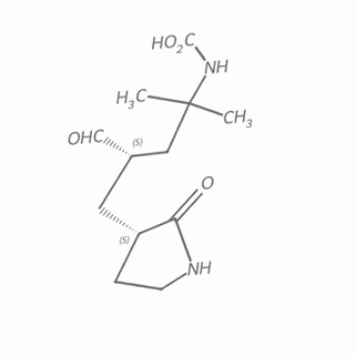 CC(C)(C[C@@H](C=O)C[C@H]1CCNC1=O)NC(=O)O